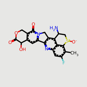 Cc1c(F)cc2nc3c(c4c2c1[S+]([O-])CC4N)Cn1c-3cc2c(c1=O)COC(=O)C2O